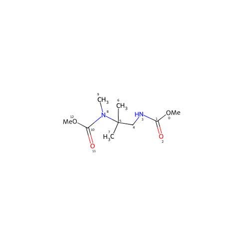 COC(=O)NCC(C)(C)N(C)C(=O)OC